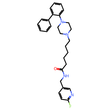 O=C(CCCCCN1CCN(c2ccccc2-c2ccccc2)CC1)NCc1ccc(F)nc1